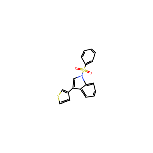 O=S(=O)(c1ccccc1)n1cc(-c2ccsc2)c2ccccc21